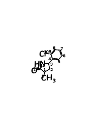 CC1CC(c2ccccc2Cl)NC1=O